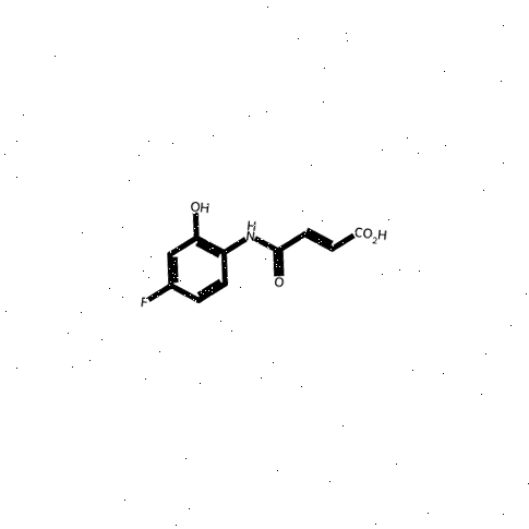 O=C(O)C=CC(=O)Nc1ccc(F)cc1O